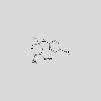 CCCCCC1=C(C)C=CC(Oc2ccc(N)cc2)(C(C)(C)C)C1